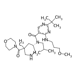 COCCCNc1nc(C(C)(C)C)ncc1C(=O)N(CC(C)C)[C@@H]1CNCC(C)(C(=O)N2CCOCC2)C1